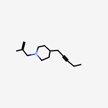 C=C(C)CN1CCC(CC#CCC)CC1